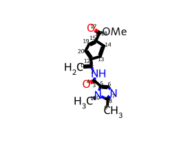 C=C(NC(=O)c1cnc(C)n1C)c1ccc(C(=O)OC)cc1